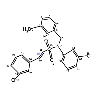 Bc1cccc(CN(c2cccc(Cl)c2)S(=O)(=O)/C=C/c2cccc(Cl)c2)c1